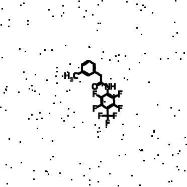 Cc1cccc(CC(=O)Nc2c(F)c(F)c(C(F)(F)F)c(F)c2F)c1